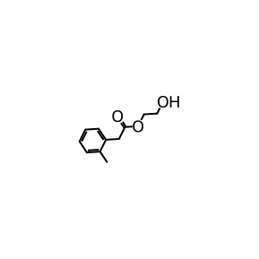 Cc1ccccc1CC(=O)OCCO